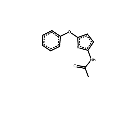 CC(=O)Nc1ccc(Oc2ccccc2)s1